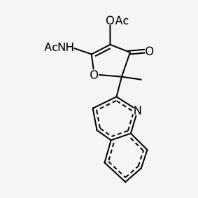 CC(=O)NC1=C(OC(C)=O)C(=O)C(C)(c2ccc3ccccc3n2)O1